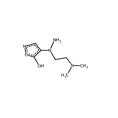 CN(C)CCN(N)c1cnoc1O